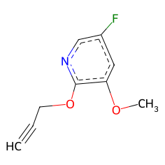 C#CCOc1ncc(F)cc1OC